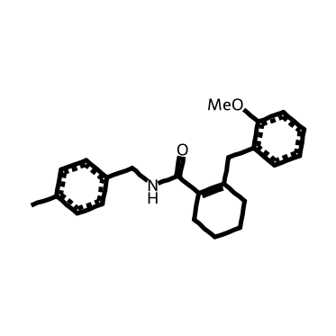 COc1ccccc1CC1=C(C(=O)NCc2ccc(C)cc2)CCCC1